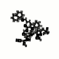 CCOC(=O)c1c(CCCOc2cccc3ccccc23)c2cccc(-c3c(CC(F)(F)F)nn(C)c3CBr)c2n1CCCCNC.Cl